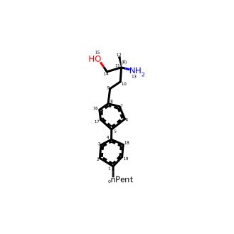 CCCCCc1ccc(-c2ccc(CC[C@@](C)(N)CO)cc2)cc1